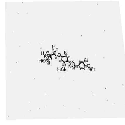 CC(C)Oc1ccc(-c2nnc(-c3cc(F)c(OC[C@@H](N)[C@H](C)OP(=O)(O)O)cc3Cl)s2)cc1Cl.Cl